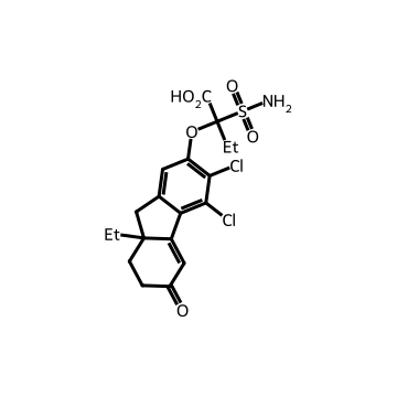 CCC12CCC(=O)C=C1c1c(cc(OC(CC)(C(=O)O)S(N)(=O)=O)c(Cl)c1Cl)C2